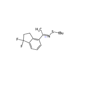 C/C(=N\SC(C)(C)C)c1cccc2c1CCC2(F)F